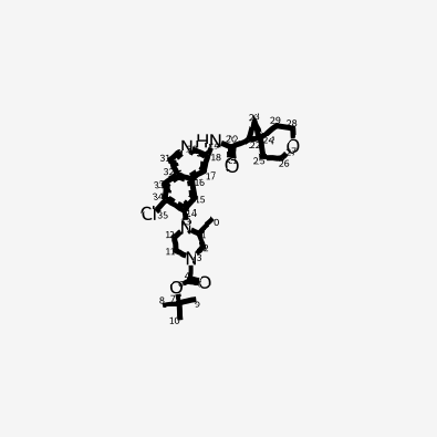 CC1CN(C(=O)OC(C)(C)C)CCN1c1cc2cc(NC(=O)C3CC34CCOCC4)ncc2cc1Cl